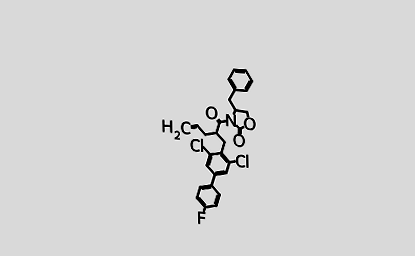 C=CCC(Cc1c(Cl)cc(-c2ccc(F)cc2)cc1Cl)C(=O)N1C(=O)OCC1Cc1ccccc1